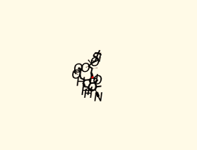 CO[C@H]1C[C@H]2C=C[C@H]3[C@H]4O[C@]2(/C(C)=C/[C@@H](C)[C@@H]([C@@H](C)O[Si](C)(C)C(C)(C)C)OC1=O)[C@@H]3C(=O)C(C)[C@H]4C#N